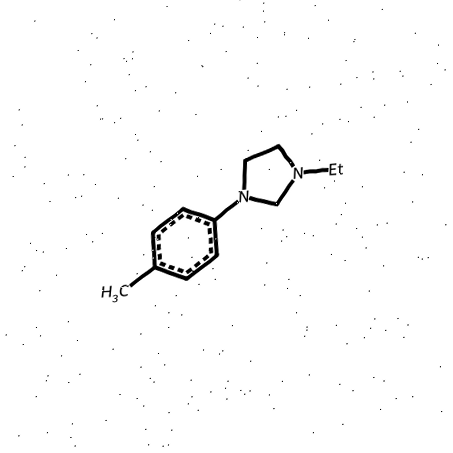 CCN1CCN(c2ccc(C)cc2)C1